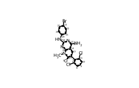 Cn1c(=O)c(-c2c(Cl)cccc2Cl)cc2c(N)nc(Nc3ccc(Br)cc3)nc21